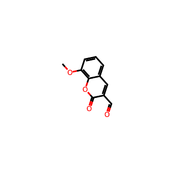 COc1cccc2cc(C=O)c(=O)oc12